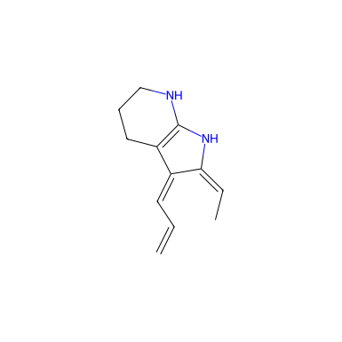 C=C/C=c1/c2c([nH]/c1=C/C)NCCC2